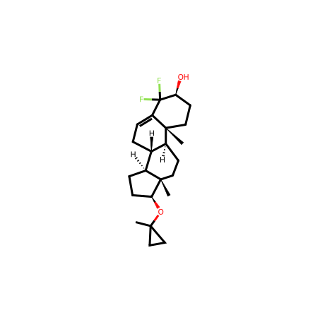 CC1(O[C@H]2CC[C@H]3[C@@H]4CC=C5C(F)(F)[C@@H](O)CC[C@]5(C)[C@H]4CC[C@]23C)CC1